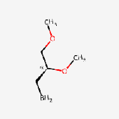 BC[C@@H](COC)OC